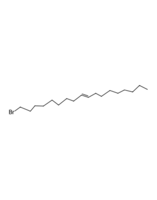 CCCCCCCC/C=C/CCCCCCCCBr